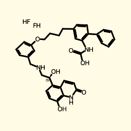 F.F.O=C(O)Nc1cc(CCCCOc2cccc(CNC[C@@H](O)c3ccc(O)c4[nH]c(=O)ccc34)c2)ccc1-c1ccccc1